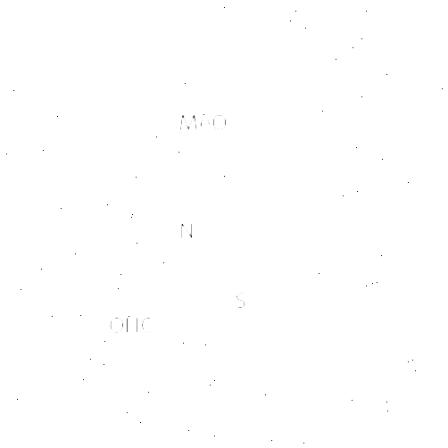 COc1cccc2sc(C=O)nc12